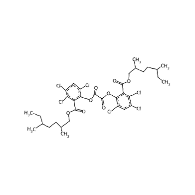 CCC(C)CCC(C)COC(=O)c1c(Cl)c(Cl)cc(Cl)c1OC(=O)C(=O)Oc1c(Cl)cc(Cl)c(Cl)c1C(=O)OCC(C)CCC(C)CC